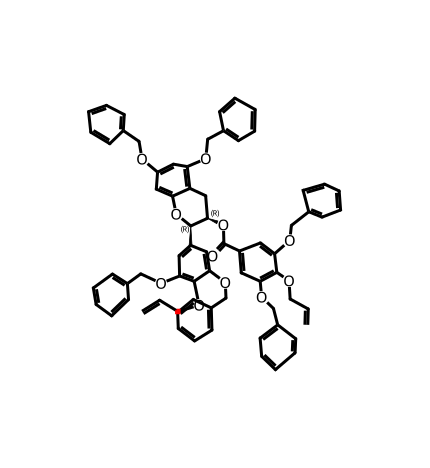 C=CCOc1c(OCc2ccccc2)cc(C(=O)O[C@@H]2Cc3c(OCc4ccccc4)cc(OCc4ccccc4)cc3O[C@@H]2c2cc(OCc3ccccc3)c(OCC=C)c(OCc3ccccc3)c2)cc1OCc1ccccc1